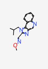 CO/N=C/c1nc2cnc3ccccc3c2n1CC(C)C